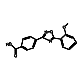 COc1ccccc1-c1nc(-c2ccc(C(=O)O)cc2)no1